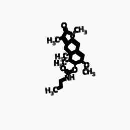 CCCNC(=O)O[C@H]1[C@H](OC)C=C2C=C3C(=C(C)C(=O)N3C)C[C@]2(C)[C@H]1C